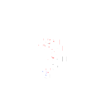 CC(C(=O)OC[C@H](O)[C@H]1OC(=O)C(O)=C1O)c1ccc2c(c1)Oc1ncccc1C2